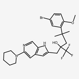 COc1ccc(Br)cc1C(C)(C)CC(O)(Cc1cc2cc(N3CCCCC3)ncc2[nH]1)C(F)(F)F